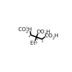 CCC(CC(=O)O)(CC(=O)O)C(=O)O